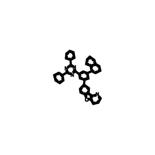 c1ccc(-c2nc(-c3ccccc3)nc(-c3cc(-c4ccc5oc6cccnc6c5c4)cc(-c4cccc5ccccc45)c3)n2)cc1